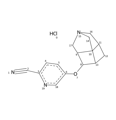 Cl.N#Cc1ccc(OC2C3CC4CC2CN(C4)C3)cn1